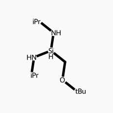 CC(C)N[SiH](COC(C)(C)C)NC(C)C